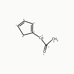 C[C](=O)[Co][C]1=CC=CC1